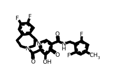 Cc1cc(F)c(CNC(=O)c2cn3c(c(O)c2=O)C(=O)N2CCc4cc(F)c(F)cc4C3C2)c(F)c1